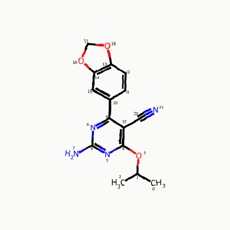 CC(C)Oc1nc(N)nc(-c2ccc3c(c2)OCO3)c1C#N